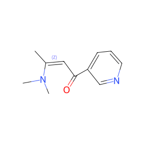 C/C(=C/C(=O)c1cccnc1)N(C)C